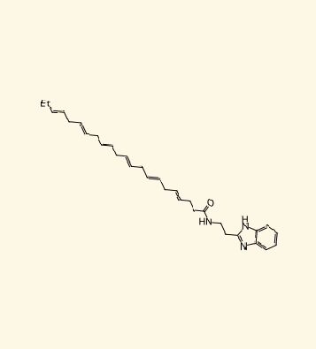 CCC=CCC=CCC=CCC=CCC=CCC=CCCC(=O)NCCc1nc2ccccc2[nH]1